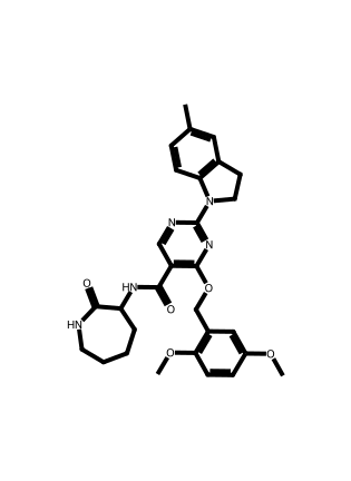 COc1ccc(OC)c(COc2nc(N3CCc4cc(C)ccc43)ncc2C(=O)NC2CCCCNC2=O)c1